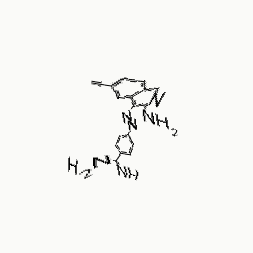 C#Cc1ccc2cnc(N)c(/N=N/c3ccc(C(=N)N)cc3)c2c1